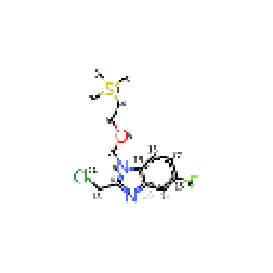 CS(C)(C)CCOCn1c(CCl)nc2cc(F)ccc21